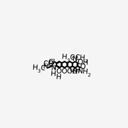 CN(C)CC(=O)Nc1c(Cl)cc2c(c1O)C(=O)C1=C(C2)CC2[C@H](N(C)C)C(O)=C(C(N)=O)C(=O)[C@@]2(O)C1O